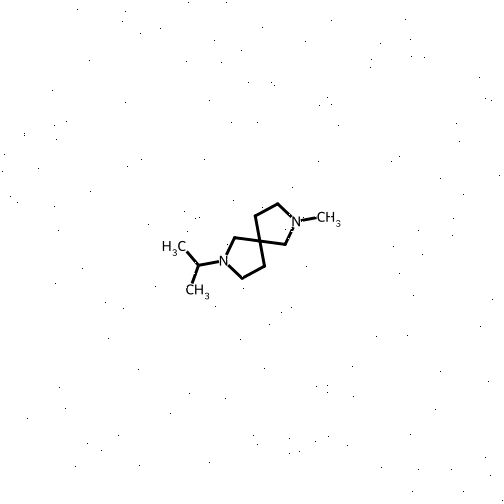 CC(C)N1CCC2(CCN(C)C2)C1